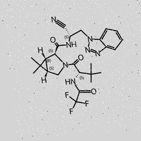 CC(C)(C)[C@H](NC(=O)C(F)(F)F)C(=O)N1C[C@H]2[C@@H]([C@H]1C(=O)N[C@H](C#N)Cn1nnc3ccccc31)C2(C)C